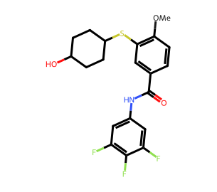 COc1ccc(C(=O)Nc2cc(F)c(F)c(F)c2)cc1SC1CCC(O)CC1